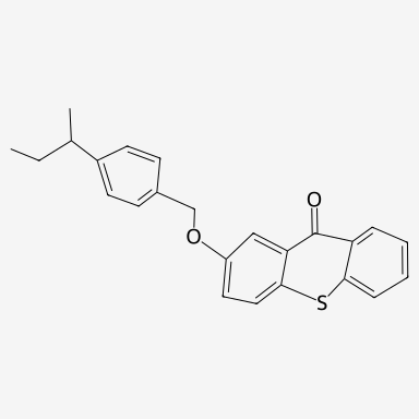 CCC(C)c1ccc(COc2ccc3sc4ccccc4c(=O)c3c2)cc1